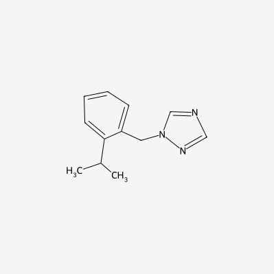 CC(C)c1ccccc1Cn1cncn1